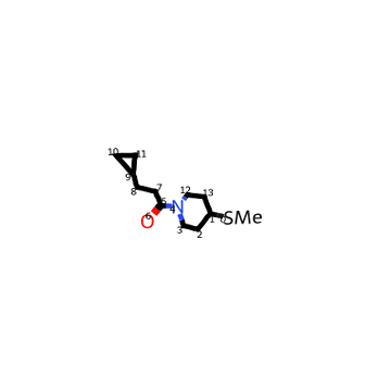 CSC1CCN(C(=O)CCC2CC2)CC1